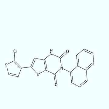 O=c1[nH]c2cc(-c3ccsc3Cl)sc2c(=O)n1-c1cccc2ccccc12